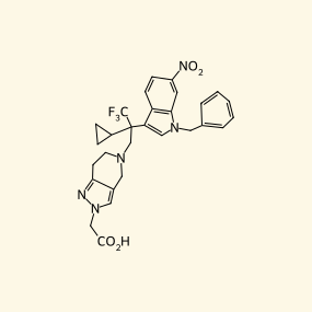 O=C(O)Cn1cc2c(n1)CCN(CC(c1cn(Cc3ccccc3)c3cc([N+](=O)[O-])ccc13)(C1CC1)C(F)(F)F)C2